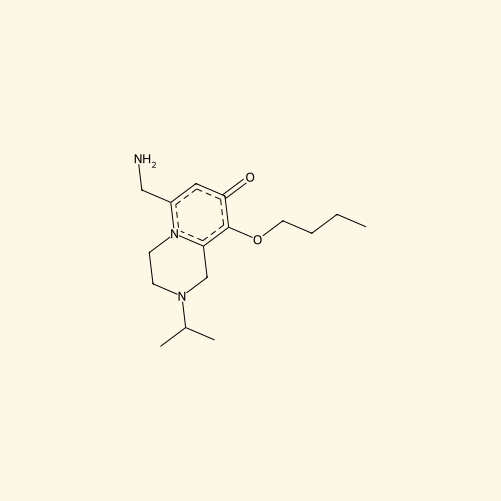 CCCCOc1c2n(c(CN)cc1=O)CCN(C(C)C)C2